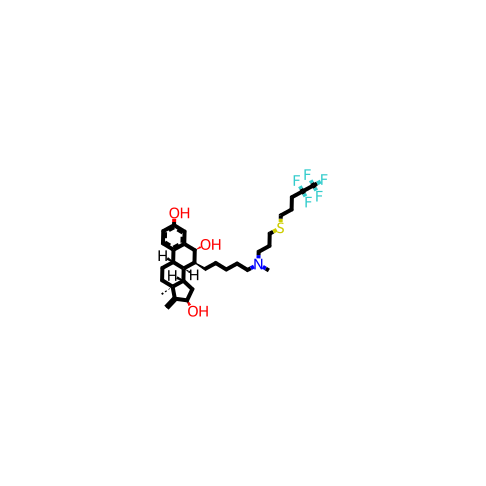 C=C1[C@H](O)C[C@H]2[C@@H]3[C@H](CCCCCN(C)CCCSCCCC(F)(F)C(F)(F)F)[C@@H](O)c4cc(O)ccc4[C@H]3CC[C@]12C